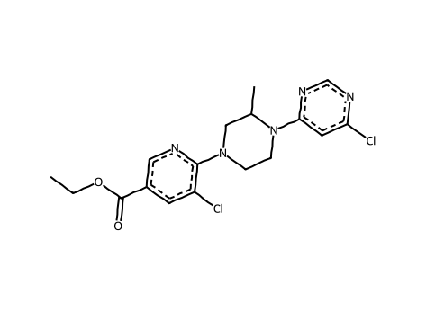 CCOC(=O)c1cnc(N2CCN(c3cc(Cl)ncn3)C(C)C2)c(Cl)c1